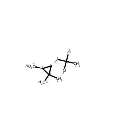 CC(Cl)(Cl)C[C@H]1[C@H](C(=O)O)C1(C)C